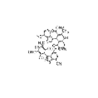 CC1=C(C(=O)O)C(c2csc3c(C#N)cccc23)C(C(=O)O)=C(C=O)N1.COC(=O)C1=C(C)NC(CO)=C(C(=O)OC)C1c1csc2c(C#N)cccc12